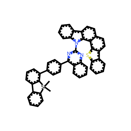 C[Si]1(C)c2ccccc2-c2cccc(-c3ccc(-c4nc(-n5c6ccccc6c6ccc7ccc8c9ccccc9sc8c7c65)nc5ccccc45)cc3)c21